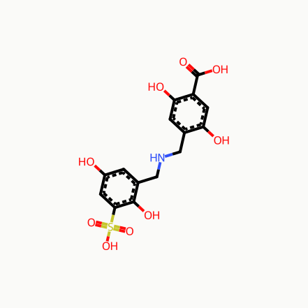 O=C(O)c1cc(O)c(CNCc2cc(O)cc(S(=O)(=O)O)c2O)cc1O